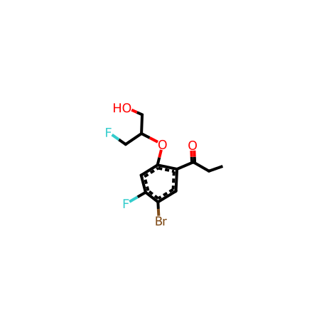 CCC(=O)c1cc(Br)c(F)cc1OC(CO)CF